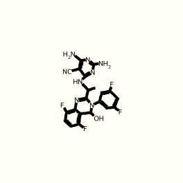 CC(Nc1nc(N)nc(N)c1C#N)C1=Nc2c(F)ccc(F)c2C(O)N1c1cc(F)cc(F)c1